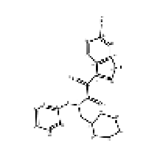 O=C(C(=O)N(Cc1cccnc1)CC1CCCCC1)c1c[nH]c2cc(F)ccc12